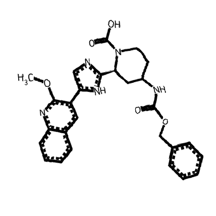 COc1nc2ccccc2cc1-c1cnc([C@@H]2CC(NC(=O)OCc3ccccc3)CCN2C(=O)O)[nH]1